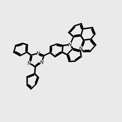 c1ccc(-c2nc(-c3ccccc3)nc(-c3ccc4c(c3)c3ccccc3n4-c3cccc4ccc5cccnc5c34)n2)cc1